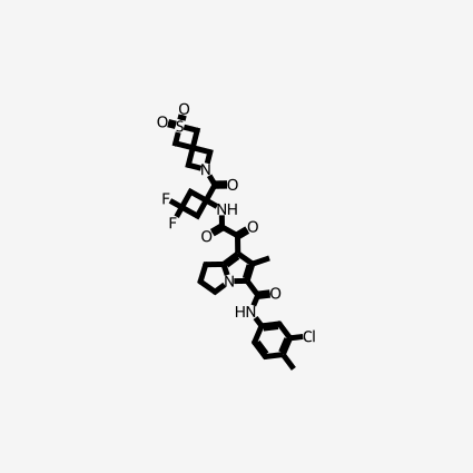 Cc1ccc(NC(=O)c2c(C)c(C(=O)C(=O)NC3(C(=O)N4CC5(C4)CS(=O)(=O)C5)CC(F)(F)C3)c3n2CCC3)cc1Cl